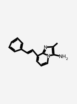 Cc1nc2c(C=Cc3ccccc3)cccn2c1N